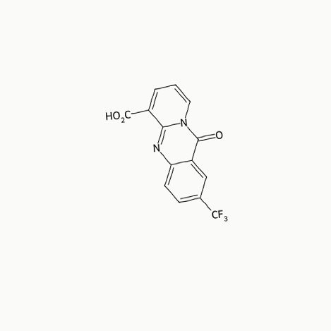 O=C(O)c1cccn2c(=O)c3cc(C(F)(F)F)ccc3nc12